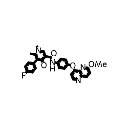 COc1ccc2nccc(Oc3ccc(NC(=O)c4cn(C)c(C)c(-c5ccc(F)cc5)c4=O)cc3)c2n1